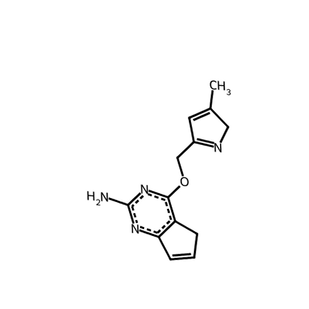 CC1=CC(COc2nc(N)nc3c2CC=C3)=NC1